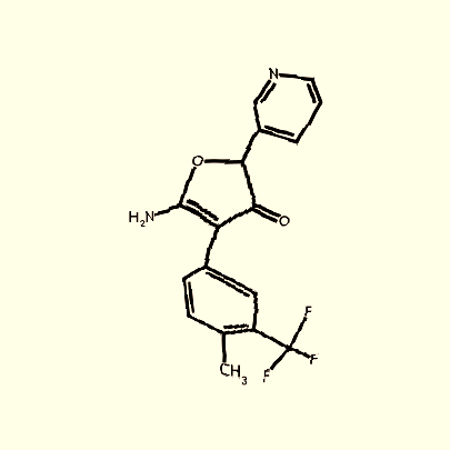 Cc1ccc(C2=C(N)OC(c3cccnc3)C2=O)cc1C(F)(F)F